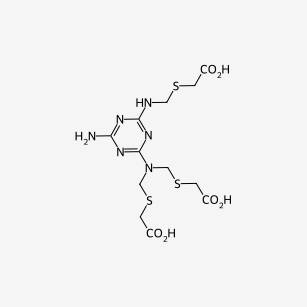 Nc1nc(NCSCC(=O)O)nc(N(CSCC(=O)O)CSCC(=O)O)n1